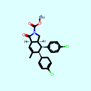 CC1=C[C@H]2C(=O)N(C(=O)OC(C)(C)C)C[C@H]2[C@@H](c2ccc(Cl)cc2)[C@H]1C1C=CC(Cl)=CC1